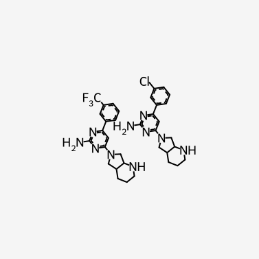 Nc1nc(-c2cccc(C(F)(F)F)c2)cc(N2CC3CCCNC3C2)n1.Nc1nc(-c2cccc(Cl)c2)cc(N2CC3CCCNC3C2)n1